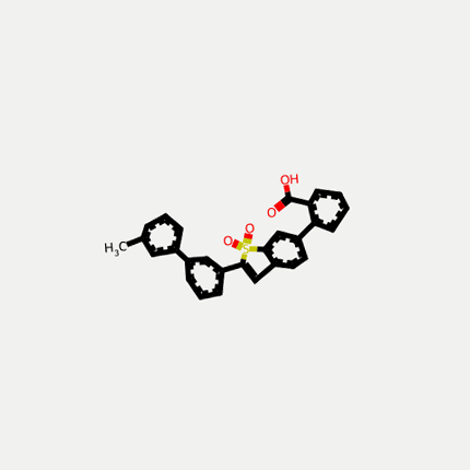 Cc1cccc(-c2cccc(C3=Cc4ccc(-c5ccccc5C(=O)O)cc4S3(=O)=O)c2)c1